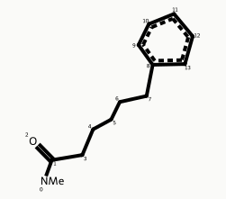 CNC(=O)CCCCCc1ccccc1